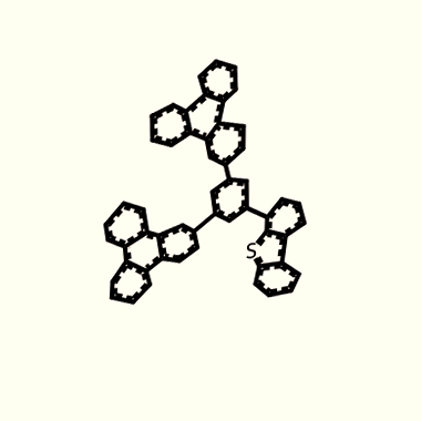 c1ccc2c(c1)sc1c(-c3cc(-c4ccc5c6ccccc6c6ccccc6c5c4)cc(-c4ccc5c6ccccc6c6ccccc6c5c4)c3)cccc12